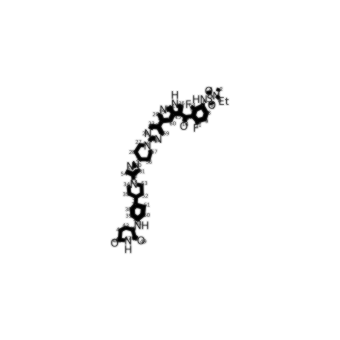 CCN(C)S(=O)(=O)Nc1ccc(F)c(C(=O)c2c[nH]c3ncc(-c4cnc(N5CCC(n6cc(N7CCC(c8ccc(NC9CCC(=O)NC9=O)cc8)CC7)cn6)CC5)nc4)cc23)c1F